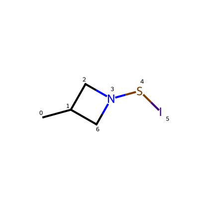 CC1CN(SI)C1